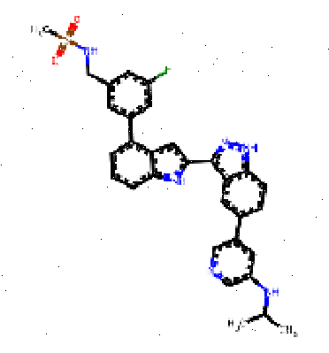 CC(C)Nc1cncc(-c2ccc3[nH]nc(-c4cc5c(-c6cc(F)cc(CNS(C)(=O)=O)c6)cccc5[nH]4)c3c2)c1